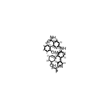 COc1cccc(F)c1-c1nc(Nc2cc(N3CCC[C@H](O)C3)c(-c3cnn(C(F)F)c3)cn2)ccc1C(N)=O